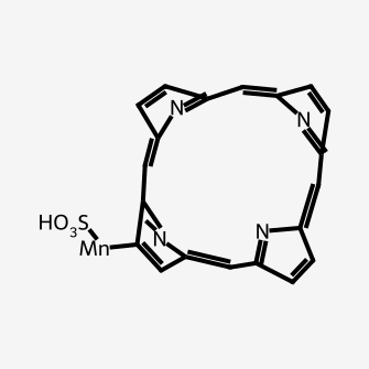 O=[S](=O)(O)[Mn][C]1=CC2=CC3=NC(=CC4=NC(=CC5=NC(=CC1=N2)C=C5)C=C4)C=C3